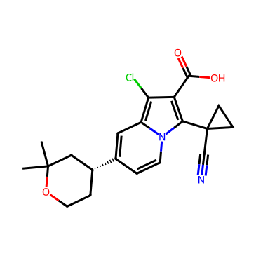 CC1(C)C[C@H](c2ccn3c(C4(C#N)CC4)c(C(=O)O)c(Cl)c3c2)CCO1